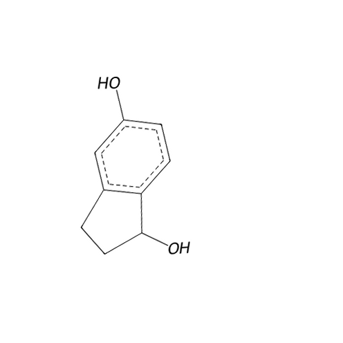 Oc1ccc2c(c1)CCC2O